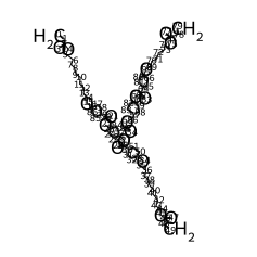 C=CC(=O)OCCCCCCCCCCOc1ccc(C(=O)Oc2ccc(OC(=O)c3ccc(OCCCCCCCCCCOC(=O)C=C)cc3)c(C(=O)OCc3ccc(OC(=O)c4ccc(OCCCCCCOC(=O)C=C)cc4)cc3)c2)cc1